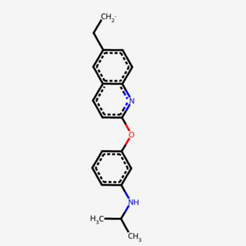 [CH2]Cc1ccc2nc(Oc3cccc(NC(C)C)c3)ccc2c1